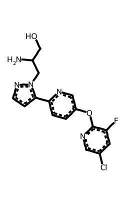 NC(CO)Cn1nccc1-c1ccc(Oc2ncc(Cl)cc2F)cn1